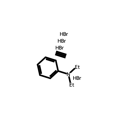 Br.Br.Br.Br.C#C.CCN(CC)c1ccccc1